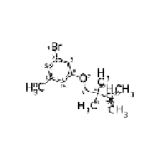 Cc1cc(Br)cc(OCC(C)(C)[SiH](C)C)c1